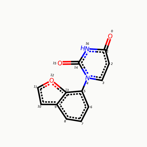 O=c1ccn(-c2cccc3ccoc23)c(=O)[nH]1